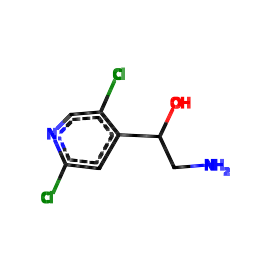 NCC(O)c1cc(Cl)ncc1Cl